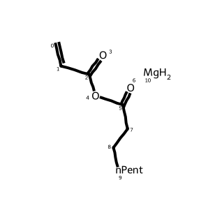 C=CC(=O)OC(=O)CCCCCCC.[MgH2]